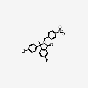 CC1(c2ccc(Cl)cc2)c2ccc(F)cc2C(=O)N1Cc1ccc([N+](=O)[O-])cc1